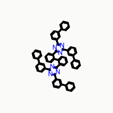 c1ccc(-c2cccc(-c3nc(-c4cccc(-c5ccccc5)c4)nc(-c4ccccc4-c4ccccc4-c4nc(-c5cccc(-c6ccccc6)c5)nc(-c5cccc(-c6ccccc6)c5)n4)n3)c2)cc1